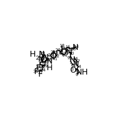 CNC(=O)CN1CCN(CCn2c(C#N)cc3c(C)c(CN4CCC(Nc5nc(N)nc6sc(CC(F)(F)F)cc56)CC4)ccc32)CC1